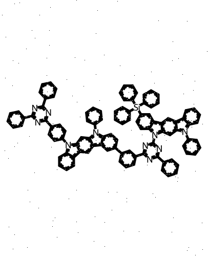 c1ccc(-c2nc(-c3ccccc3)nc(-c3ccc(-n4c5ccccc5c5cc6c7cc(-c8cccc(-c9nc(-c%10ccccc%10)nc(-n%10c%11ccc([Si](c%12ccccc%12)(c%12ccccc%12)c%12ccccc%12)cc%11c%11cc%12c%13ccccc%13n(-c%13ccccc%13)c%12cc%11%10)n9)c8)ccc7n(-c7ccccc7)c6cc54)cc3)n2)cc1